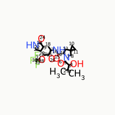 CC(C)C(O)C(=O)N1CC2(CC2)C[C@H]1C(=O)NC(C[C@@H]1CCNC1=O)C(=O)COC(F)(F)F